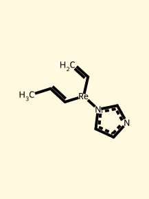 C=[CH][Re]([CH]=CC)[n]1ccnc1